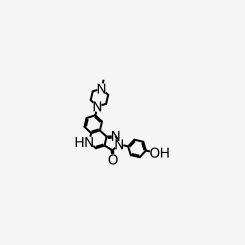 CN1CCN(c2ccc3[nH]cc4c(=O)n(-c5ccc(O)cc5)nc-4c3c2)CC1